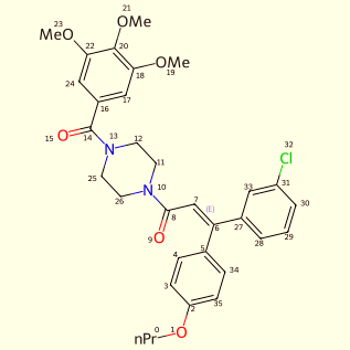 CCCOc1ccc(/C(=C\C(=O)N2CCN(C(=O)c3cc(OC)c(OC)c(OC)c3)CC2)c2cccc(Cl)c2)cc1